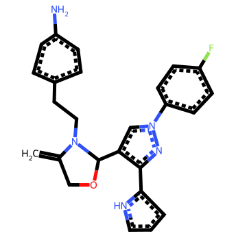 C=C1COC(c2cn(-c3ccc(F)cc3)nc2-c2ccc[nH]2)N1CCc1ccc(N)cc1